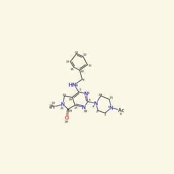 CC(=O)N1CCN(c2nc(NCc3ccccc3)c3c(n2)C(=O)N(C(C)C)C3)CC1